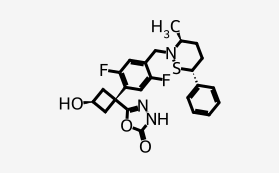 C[C@H]1CC[C@H](c2ccccc2)SN1Cc1cc(F)c([C@]2(c3n[nH]c(=O)o3)C[C@H](O)C2)cc1F